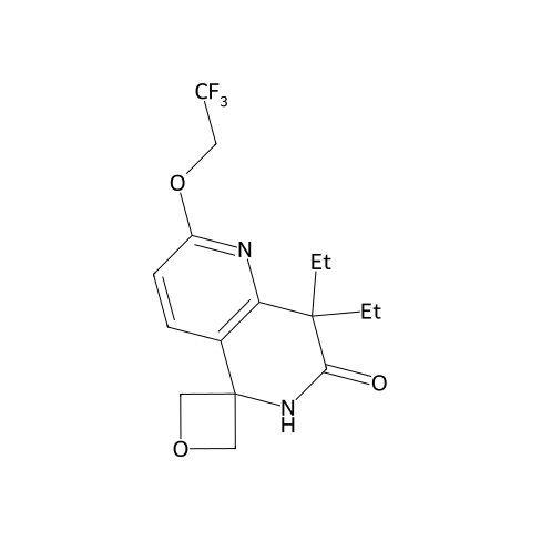 CCC1(CC)C(=O)NC2(COC2)c2ccc(OCC(F)(F)F)nc21